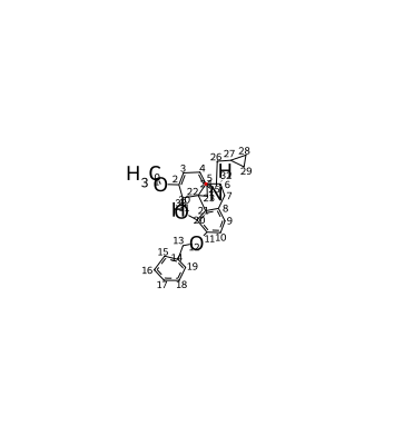 COC1=CC=C2[C@H]3Cc4ccc(OCc5ccccc5)c5c4C2(CCN3CC2CC2)[C@H]1O5